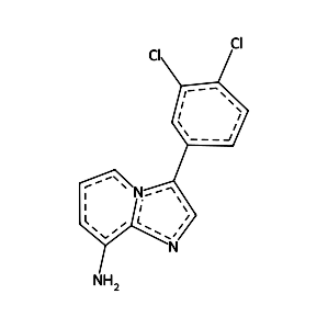 Nc1cccn2c(-c3ccc(Cl)c(Cl)c3)cnc12